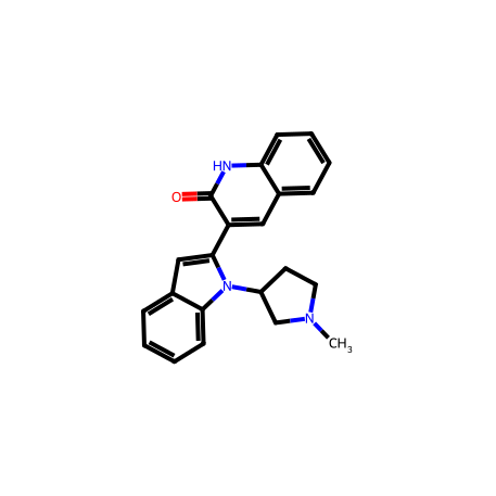 CN1CCC(n2c(-c3cc4ccccc4[nH]c3=O)cc3ccccc32)C1